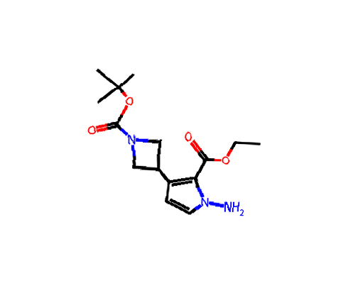 CCOC(=O)c1c(C2CN(C(=O)OC(C)(C)C)C2)ccn1N